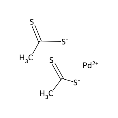 CC(=S)[S-].CC(=S)[S-].[Pd+2]